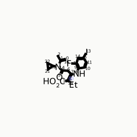 C=C(C)N(C(=O)C/C(Nc1ccc(I)cc1F)=C(/CC)C(=O)O)C1CC1